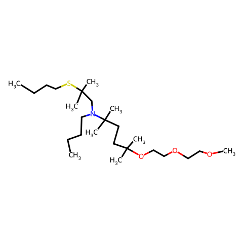 CCCCSC(C)(C)CN(CCCC)C(C)(C)CCC(C)(C)OCCOCCOC